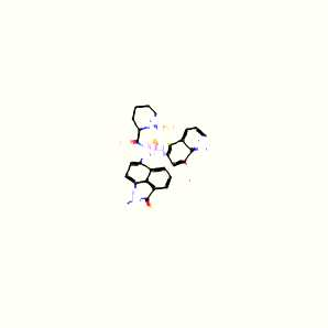 COc1ccc(S(=O)(=O)N2CCCCC2C(=O)Nc2ccc3c4c(cccc24)C(=O)N3C)c2cccnc12